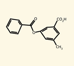 Cc1cc(OC(=O)c2ccccc2)cc(C(=O)O)c1